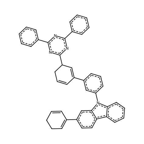 C1=CC(c2ccc3c4ccccc4n(-c4cccc(C5=CC(c6nc(-c7ccccc7)nc(-c7ccccc7)n6)CC=C5)c4)c3c2)=CCC1